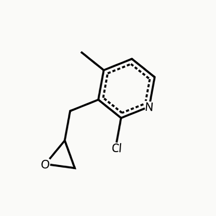 Cc1ccnc(Cl)c1CC1CO1